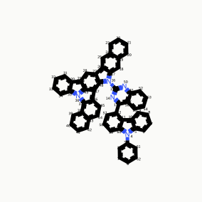 c1ccc(-n2c3ccccc3c3c(-c4nc(-n5c6cc7ccccc7cc6c6cc7c8ccccc8n8c9c%10ccccc%10ccc9c(c65)c78)nc5ccccc45)cccc32)cc1